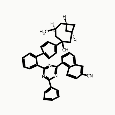 C[C@@H]1CC(C)(c2ccc(-c3ccccc3-c3nc(-c4ccccc4)nc(-c4cccc5cc(C#N)ccc45)n3)cc2)C[C@H]2C[C@H](C1)C2